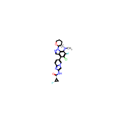 CN(C)c1c(F)c(Cl)c(-c2ccc3nc(NC(=O)[C@@H]4C[C@@H]4F)cn3c2)c2cnn(C3CCCCO3)c12